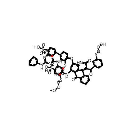 O=C(c1cccc(SOOO)c1)c1c2c3c(c(Nc4cc(Nc5nc(O)nc(Nc6ccccc6)n5)c(S(=O)(=O)O)cc4SOOO)cc(Oc4ccc(-c5ccc(S(=O)(=O)O)cc5)cc4SOOO)c3[nH]c1=O)C(=O)c1ccccc1-2